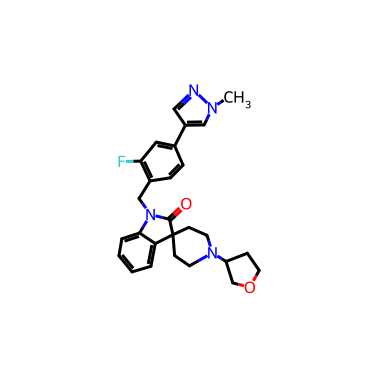 Cn1cc(-c2ccc(CN3C(=O)C4(CCN(C5CCOC5)CC4)c4ccccc43)c(F)c2)cn1